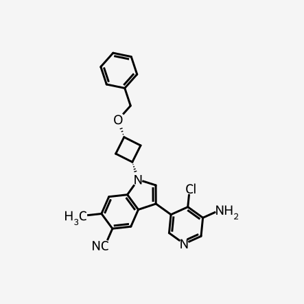 Cc1cc2c(cc1C#N)c(-c1cncc(N)c1Cl)cn2[C@H]1C[C@@H](OCc2ccccc2)C1